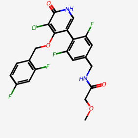 COCC(=O)NCc1cc(F)c(-c2c[nH]c(=O)c(Cl)c2OCc2ccc(F)cc2F)c(F)c1